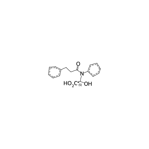 O=C(O)[C@H](O)N(C(=O)CCc1ccccc1)c1ccccc1